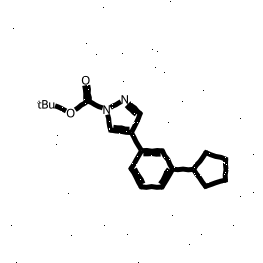 CC(C)(C)OC(=O)n1cc(-c2cccc(C3CCCC3)c2)cn1